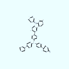 Cc1ccc2c3cc(-c4ccc(N(c5ccc(-c6ccccc6)cc5)c5ccc(-c6ccc(F)cc6)cc5)cc4)ccc3n(-c3ccccc3)c2c1